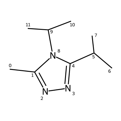 Cc1nnc(C(C)C)n1C(C)C